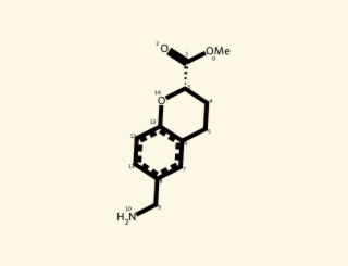 COC(=O)[C@@H]1CCc2cc(CN)ccc2O1